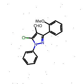 COc1ccccc1-c1nn(-c2ccccc2)c(Cl)c1C=O